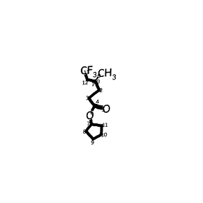 C[C@H](CCC(=O)OC1CCCC1)CC(F)(F)F